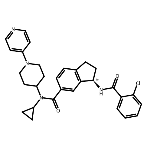 O=C(N[C@@H]1CCc2ccc(C(=O)N(C3CC3)C3CCN(c4ccncc4)CC3)cc21)c1ccccc1Cl